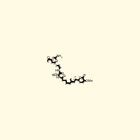 COC1=CC[C@@H]([C@@H](C)/C=C(C)/C=C\CCC(=O)N[C@H](C(=O)N/C=C\C[C@H](C/C=C(\C)Cl)OC(N)=O)C(C)(C)C)OC1=O